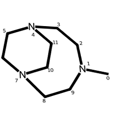 CN1CCN2CCN(CC1)CC2